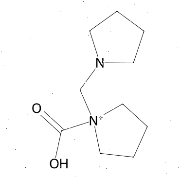 O=C(O)[N+]1(CN2CCCC2)CCCC1